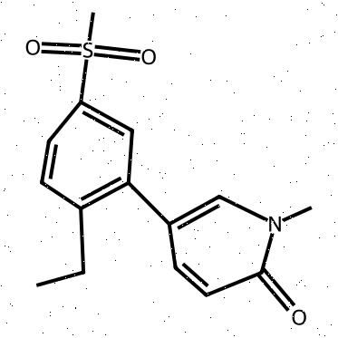 CCc1ccc(S(C)(=O)=O)cc1-c1ccc(=O)n(C)c1